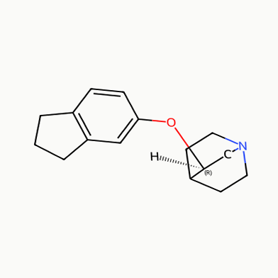 c1cc2c(cc1O[C@H]1CN3CCC1CC3)CCC2